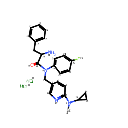 CCN(c1ccc(CN(C(=O)C(N)Cc2ccccc2)c2ccc(F)cc2)cn1)C1CC1.Cl.Cl